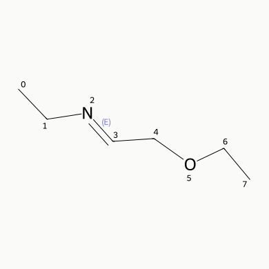 CC/N=C/COCC